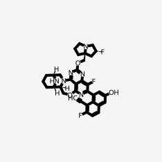 C#Cc1c(F)ccc2cc(O)cc(-c3nc4c5c(nc(OC[C@@]67CCCN6C[C@H](F)C7)nc5c3F)N3C[C@@H]5CCC[C@@H](N5)[C@@H]3CO4)c12